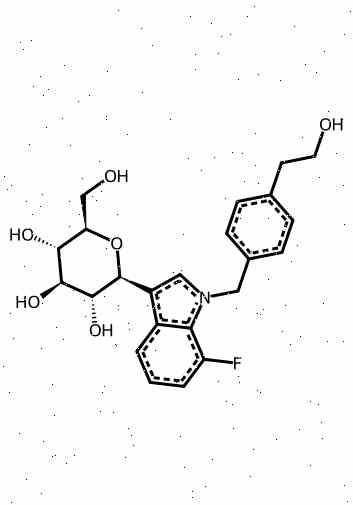 OCCc1ccc(Cn2cc([C@@H]3O[C@H](CO)[C@@H](O)[C@H](O)[C@H]3O)c3cccc(F)c32)cc1